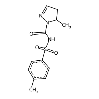 Cc1ccc(S(=O)(=O)NC(=O)N2N=CCC2C)cc1